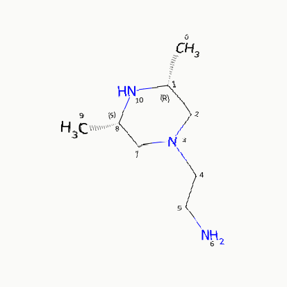 C[C@@H]1CN(CCN)C[C@H](C)N1